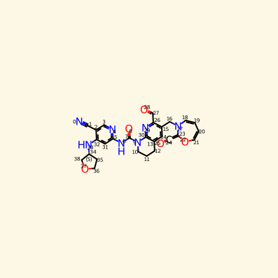 N#Cc1cnc(NC(=O)N2CCCc3cc(CN4C=CC=COC4=C=O)c(C=O)nc32)cc1N[C@H]1CCOC1